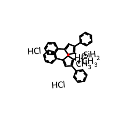 Cl.Cl.[CH3][Hf]([CH3])(=[SiH2])([C]1=C(c2ccccc2)C=C(c2ccccc2)C1)[C]1=C(c2ccccc2)C=C(c2ccccc2)C1